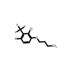 CCCCOc1ccc(F)c(C(F)(F)F)c1Cl